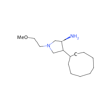 COCCN1CC(C2CCCCCCCC2)[C@H](N)C1